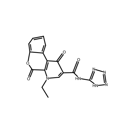 CCn1cc(C(=O)Nc2nnn[nH]2)c(=O)c2c3ccccc3oc(=O)c21